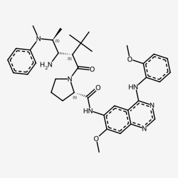 COc1cc2ncnc(Nc3ccccc3OC)c2cc1NC(=O)[C@@H]1CCCN1C(=O)[C@H](C(N)[C@H](C)N(C)c1ccccc1)C(C)(C)C